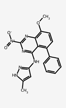 COc1ccc(-c2ccccc2)c2c(Nc3cc(C)[nH]n3)nc([N+](=O)[O-])nc12